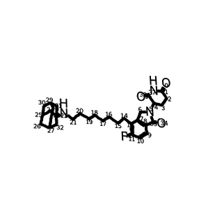 O=C1CCC(N2Cc3c(ccc(F)c3CCCCCCCCNC34CC5CC(CC(C5)C3)C4)C2=O)C(=O)N1